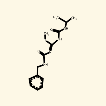 CSC(=NC(=O)NCc1ccccc1)NC(=O)NC(C)C